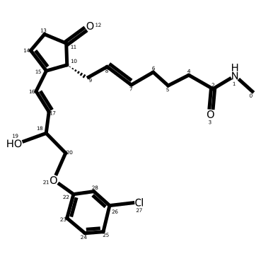 CNC(=O)CCCC=CC[C@H]1C(=O)CC=C1C=CC(O)COc1cccc(Cl)c1